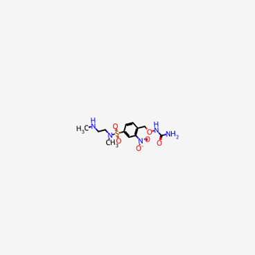 CNCCN(C)S(=O)(=O)c1ccc(CONC(N)=O)c([N+](=O)[O-])c1